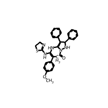 COc1ccc(/C(C)=C(\NC2=NCCS2)NC2=C(c3ccccc3)C(c3ccccc3)NN2C=O)cc1